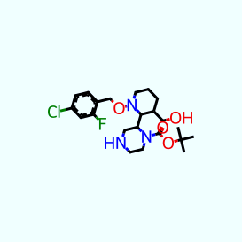 CC(C)(C)OC(=O)N1CCNCC1C1C(CO)CCCN1OCc1ccc(Cl)cc1F